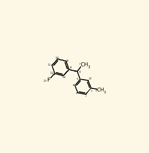 Cc1cccc(C(C)c2cccc(F)c2)c1